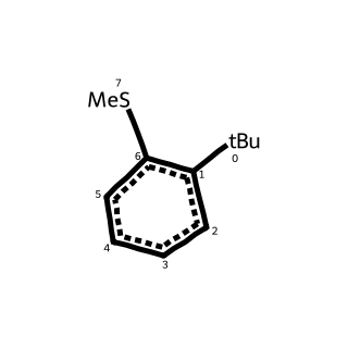 [CH2]C(C)(C)c1ccccc1SC